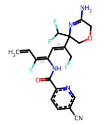 C=C/C(F)=C(\C=C(/CF)C1(C(F)F)COCC(N)=N1)NC(=O)c1ccc(C#N)cn1